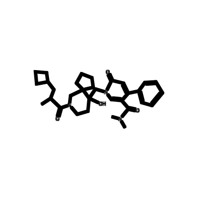 CC(CC1CCC1)C(=O)N1CCC(O)(Cn2cc(C(=O)N(C)C)c(-c3ccccc3)cc2=O)C2(CCCC2)C1